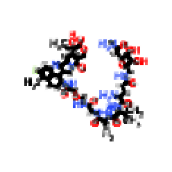 CC[C@@]1(O)C(=O)OCc2c1cc1n(c2=O)Cc2c-1nc1cc(F)c(C)c3c1c2[C@@H](NC(=O)COCNC(=O)CNC(=O)[C@H](C)NC(=O)[C@@H](NC(=O)[C@@H](N)CCC(=O)NC[C@H]1O[C@@H](CC(N)=O)[C@H](O)[C@@H]1O)C(C)C)CC3